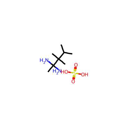 CC(C)C(C)(C)C(C)(N)N.O=S(=O)(O)O